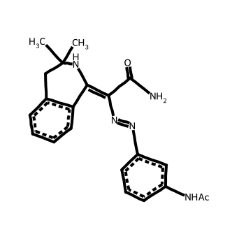 CC(=O)Nc1cccc(N=NC(C(N)=O)=C2NC(C)(C)Cc3ccccc32)c1